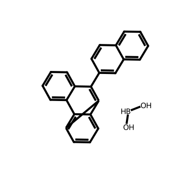 OBO.c1ccc2cc(-c3c4ccccc4c4c5cccc4c35)ccc2c1